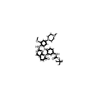 COc1cc(N2CCN(C)CC2)ccc1Nc1ncc2ccc(=O)n(-c3cc(NC(=O)OC(C)(C)C)ccc3F)c2n1